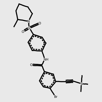 CC1CCCCN1S(=O)(=O)c1ccc(NC(=O)c2ccc(Br)c(C#C[Si](C)(C)C)c2)cc1